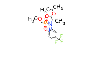 COCP(=O)(N[C@@H](C)C(=O)OC(C)C)Oc1ccc(C(F)(F)F)cc1